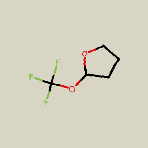 FC(F)(F)OC1CC[CH]O1